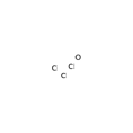 [C].[C].[C].[O]